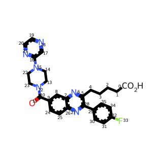 O=C(O)CCCCc1nc2cc(C(=O)N3CCN(c4cnccn4)CC3)ccc2nc1-c1ccc(F)cc1